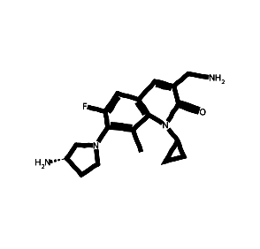 Cc1c(N2CC[C@H](N)C2)c(F)cc2cc(CN)c(=O)n(C3CC3)c12